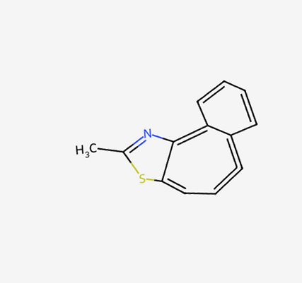 Cc1nc2c(s1)=CC=C=c1ccccc1=2